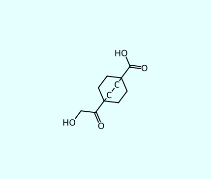 O=C(O)C12CCC(C(=O)CO)(CC1)CC2